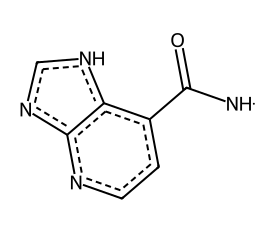 [NH]C(=O)c1ccnc2nc[nH]c12